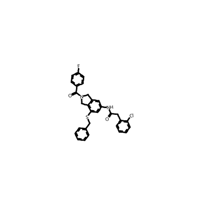 O=C(Cc1ccccc1Cl)Nc1cc2c(c(SCc3ccccc3)c1)CN(C(=O)c1ccc(F)cc1)C2